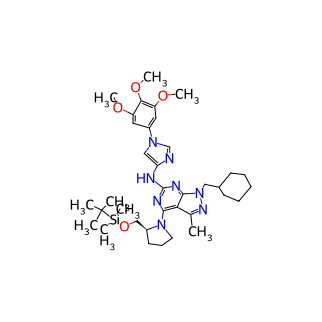 COc1cc(-n2cnc(Nc3nc(N4CCC[C@H]4CO[Si](C)(C)C(C)(C)C)c4c(C)nn(CC5CCCCC5)c4n3)c2)cc(OC)c1OC